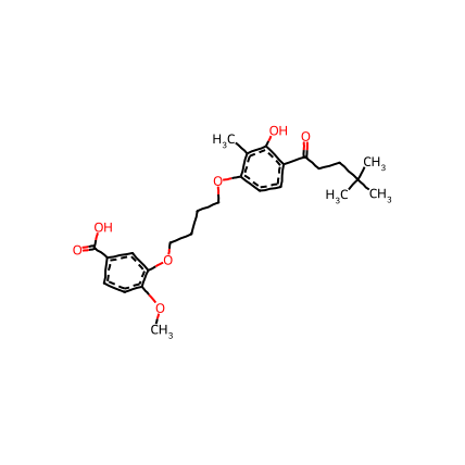 COc1ccc(C(=O)O)cc1OCCCCOc1ccc(C(=O)CCC(C)(C)C)c(O)c1C